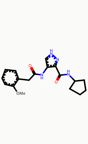 COc1ccccc1CC(=O)Nc1c[nH]nc1C(=O)NC1CCCC1